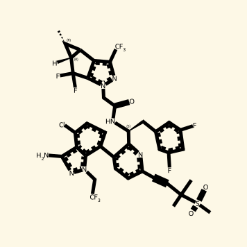 C[C@@H]1C2c3c(C(F)(F)F)nn(CC(=O)N[C@@H](Cc4cc(F)cc(F)c4)c4nc(C#CC(C)(C)S(C)(=O)=O)ccc4-c4ccc(Cl)c5c(N)nn(CC(F)(F)F)c45)c3C(F)(F)[C@@H]21